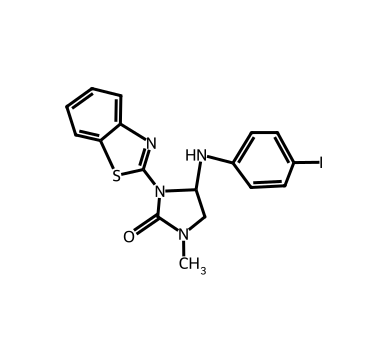 CN1CC(Nc2ccc(I)cc2)N(c2nc3ccccc3s2)C1=O